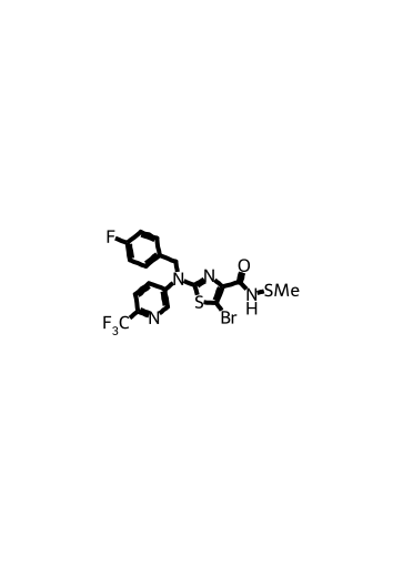 CSNC(=O)c1nc(N(Cc2ccc(F)cc2)c2ccc(C(F)(F)F)nc2)sc1Br